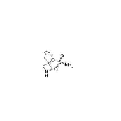 CCC1(OS(N)(=O)=O)CNC1